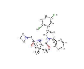 CC(C)(C)[C@H](NC(=O)CN1CCC1)C(=O)N1CC(c2cc(F)ccc2F)=C[C@H]1c1ccccc1